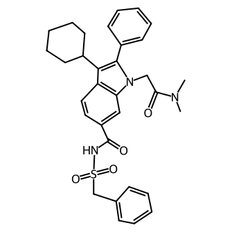 CN(C)C(=O)Cn1c(-c2ccccc2)c(C2CCCCC2)c2ccc(C(=O)NS(=O)(=O)Cc3ccccc3)cc21